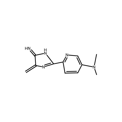 C=C1N=C(c2ccc(N(C)C)cn2)NC1=N